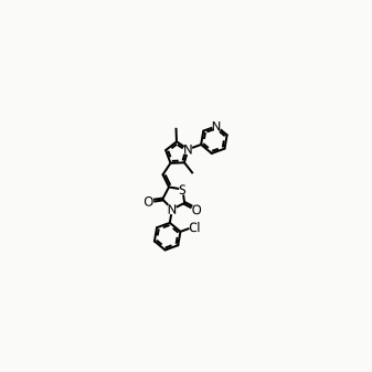 Cc1cc(/C=C2\SC(=O)N(c3ccccc3Cl)C2=O)c(C)n1-c1cccnc1